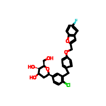 OC[C@H]1O[C@@H](c2ccc(Cl)c(Cc3ccc(OCc4cc5cc(F)ccc5o4)cc3)c2)C[C@@H](O)[C@@H]1O